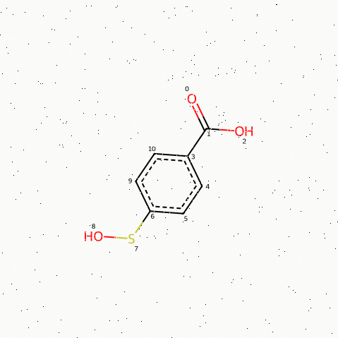 O=C(O)c1ccc(SO)cc1